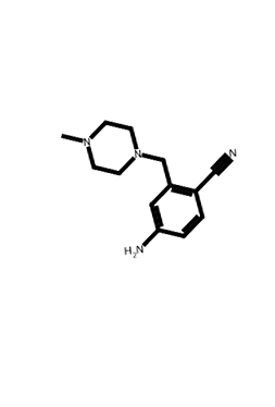 CN1CCN(Cc2cc(N)ccc2C#N)CC1